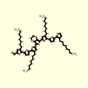 CCCCCCCCc1ccsc1-c1ccc(-c2sc(-c3sc(-c4cc(CCCCCCCC)c(-c5ccc(-c6sc(C=O)cc6CCCCCCCC)s5)s4)c4c3OCCO4)cc2CCCCCCCC)s1